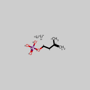 C=C(C)CCOP(=O)([O-])[O-].[Li+].[Li+]